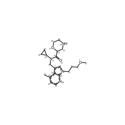 COCCCn1cc(CN(C(=O)C2CNCCO2)C2CC2)c2c(C)ccnc21